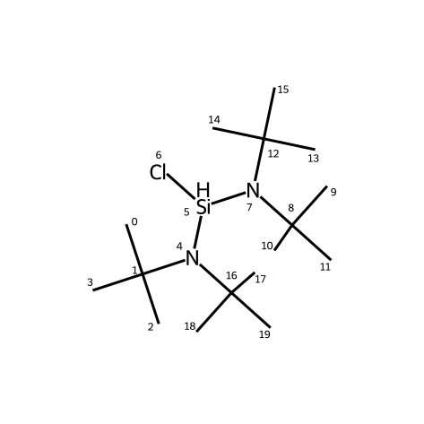 CC(C)(C)N([SiH](Cl)N(C(C)(C)C)C(C)(C)C)C(C)(C)C